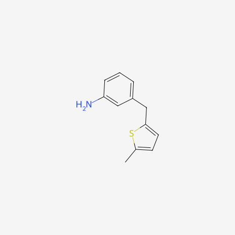 Cc1ccc(Cc2cccc(N)c2)s1